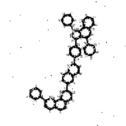 c1ccc(-c2ccc3ccc4ccc(-c5ccc6nc(-c7ccc(-c8nn(-c9ccccc9)c9c8c(-c8ccccc8)cc8ccccc89)cc7)ccc6c5)nc4c3n2)cc1